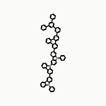 C1=C(c2ccc3c4ccc(-c5cccc(-c6cc(-c7ccccc7)cc(-c7ccccc7)c6)c5)cc4c4ccccc4c3c2)CCc2c1n(-c1ccccc1)c1ccc(-n3c4ccccc4c4cc(-c5ccc6c(c5)c5ccccc5n6-c5ccccc5)ccc43)cc21